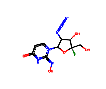 [N-]=[N+]=NC1[C@H](n2ccc(=O)[nH]/c2=N\O)O[C@](F)(CO)[C@H]1O